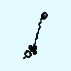 Cc1ccc(S(=O)(=O)OCCCCCCCCCCCn2cccc2)cc1